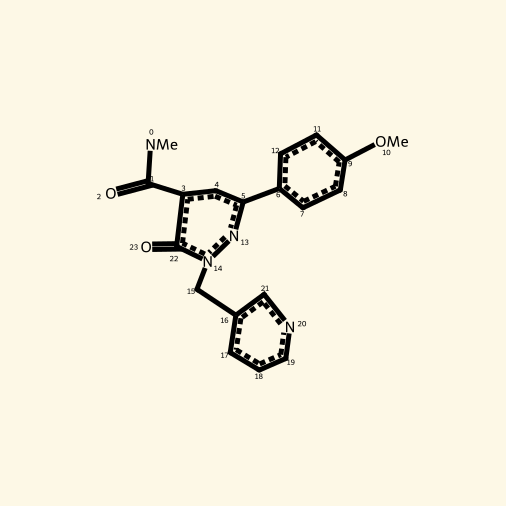 CNC(=O)c1cc(-c2ccc(OC)cc2)nn(Cc2cccnc2)c1=O